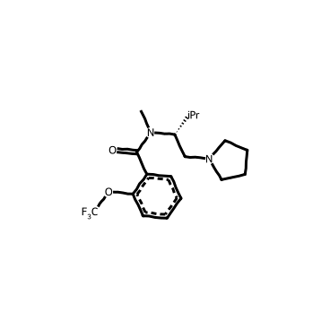 CC(C)[C@H](CN1CCCC1)N(C)C(=O)c1ccccc1OC(F)(F)F